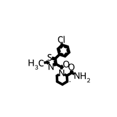 Cc1nc(C(=O)N2CCC[CH]C2C(N)=O)c(-c2cccc(Cl)c2)s1